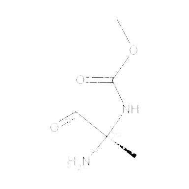 COC(=O)N[C@](C)(N)C=O